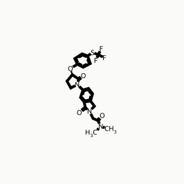 CN(C)C(=O)CN1Cc2ccc(N3CC[C@@H](Oc4ccc(SC(F)(F)F)cc4)C3=O)cc2C1=O